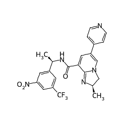 C[C@@H]1CN2C=C(c3ccncc3)C=C(C(=O)N[C@H](C)c3cc([N+](=O)[O-])cc(C(F)(F)F)c3)C2=N1